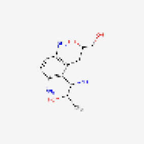 CC(O)C(N)c1c(N)ccc(N)c1CC(O)CO